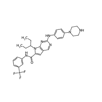 CCC(CC)n1c(C(=O)Nc2cccc(C(F)(F)F)c2)cc2cnc(Nc3ccc(N4CCNCC4)cc3)nc21